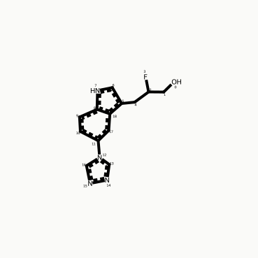 OCC(F)Cc1c[nH]c2ccc(-n3cnnc3)cc12